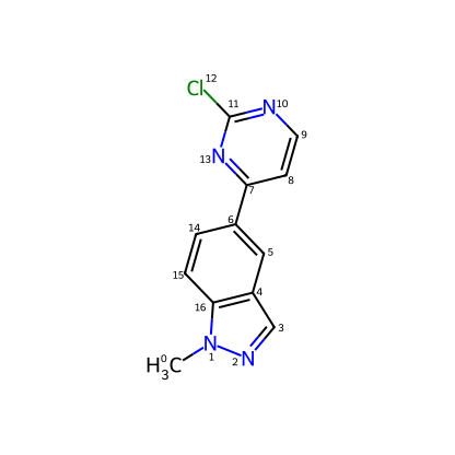 Cn1ncc2cc(-c3ccnc(Cl)n3)ccc21